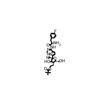 CC(C)(C)C(=O)OCC[C@H]1[C@@H](O)[C@](C#N)(c2ccc3c(NC(=O)[C@@H](N)Cc4ccc(F)cc4)ncnn23)O[C@@H]1CO